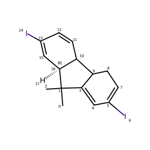 CC1(C)C2=CC(I)=CCC2C2C=CC(I)=C[C@@H]21